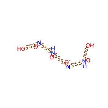 O=C(NCSCSCSC/N=C\[S+]([O-])CSCSCSC(=O)NCSCSCSC/N=C\[S+]([O-])CSCSCO)SCSCSCO